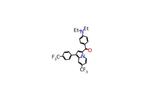 CCN(CC)c1ccc(C(=O)c2cc(-c3ccc(C(F)(F)F)cc3)c3cc(C(F)(F)F)ccn23)cc1